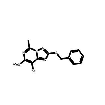 COc1nc(C)n2nc(SCc3ccccc3)nc2c1Cl